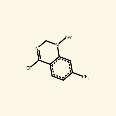 CCCN1CN=C(Cl)c2ccc(C(F)(F)F)cc21